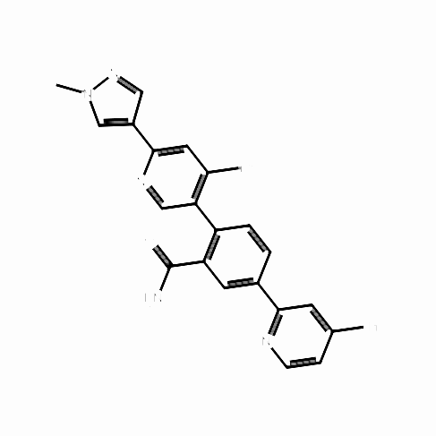 CC(C)c1ccnc(-c2ccc(-c3cnc(-c4cnn(C)c4)cc3C(C)C)c(C(N)=O)c2)c1